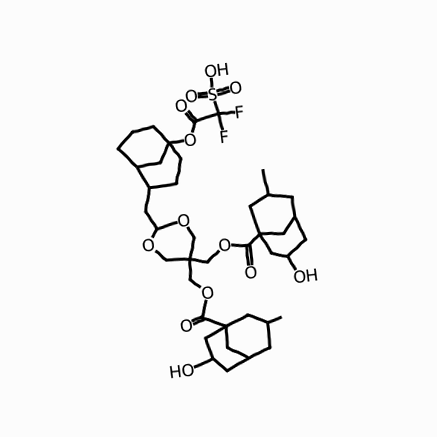 CC1CC2CC(O)CC(C(=O)OCC3(COC(=O)C45CC(C)CC(CC(O)C4)C5)COC(CC4CCC5(OC(=O)C(F)(F)S(=O)(=O)O)CCCC4C5)OC3)(C1)C2